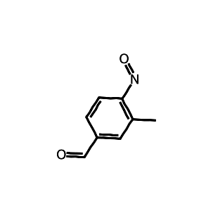 Cc1cc(C=O)ccc1N=O